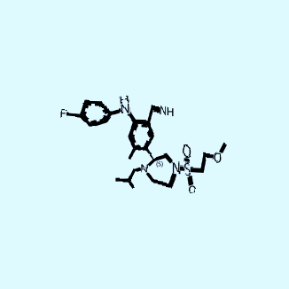 COCCS(=O)(=O)N1CCN(CC(C)C)[C@@H](c2cc(C=N)c(Nc3ccc(F)cc3)cc2C)C1